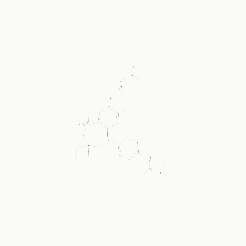 CCC1(CC)CN(c2ccc(NC(=O)C(C)(C)C)cc2)c2cc(SC)c(O/C=C(\F)C(=O)O)cc2S(=O)(=O)C1